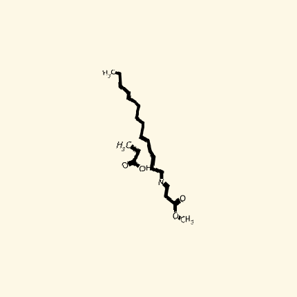 CCC(=O)O.CCCCCCCCCCCCCCN=CCC(=O)OC